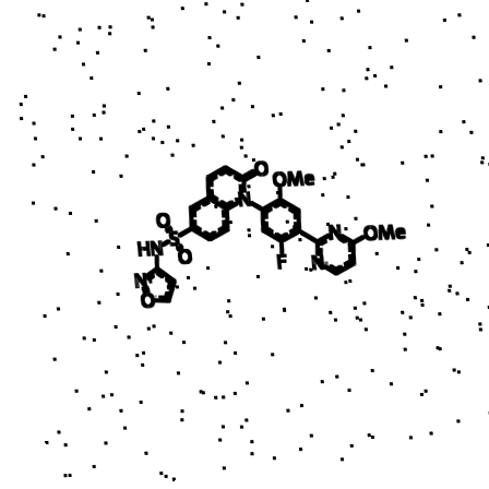 COc1ccnc(-c2cc(OC)c(-n3c(=O)ccc4cc(S(=O)(=O)Nc5ccon5)ccc43)cc2F)n1